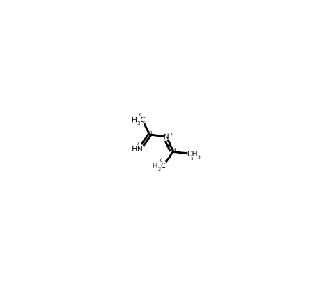 CC(=N)N=C(C)C